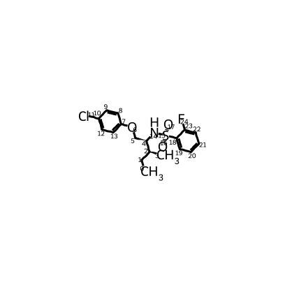 CC[C@H](C)[C@@H](COc1ccc(Cl)cc1)NS(=O)(=O)c1ccccc1F